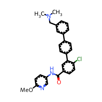 COc1ccc(NC(=O)c2ccc(Cl)c(-c3ccc(-c4cccc(CN(C)C)c4)cc3)c2)cn1